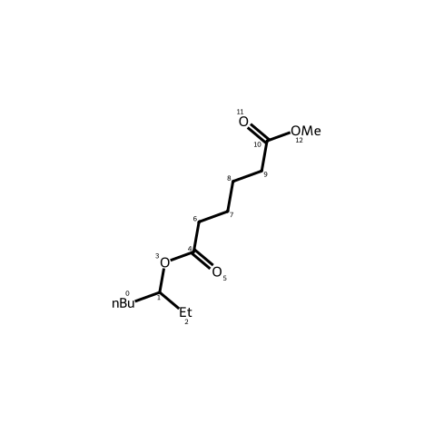 CCCCC(CC)OC(=O)CCCCC(=O)OC